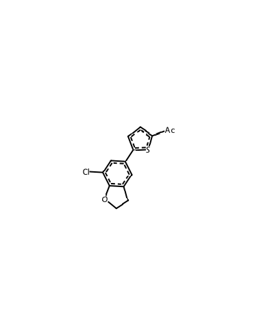 CC(=O)c1ccc(-c2cc(Cl)c3c(c2)CCO3)s1